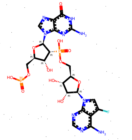 Nc1nc2c(ncn2[C@@H]2O[C@H](CO[PH](=O)O)[C@@H](O)[C@H]2P(=O)(O)OC[C@H]2O[C@@H](n3cc(F)c4c(N)ncnc43)[C@H](O)[C@@H]2O)c(=O)[nH]1